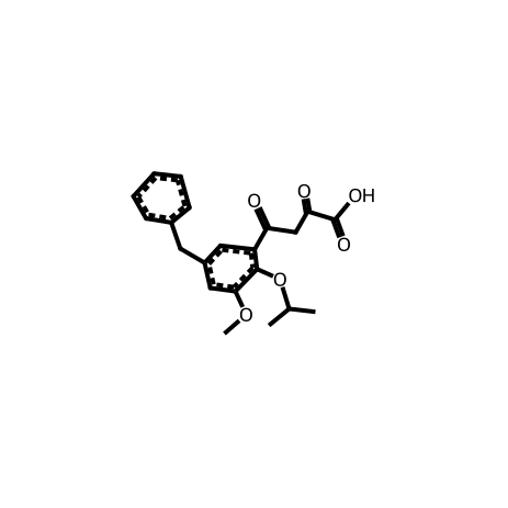 COc1cc(Cc2ccccc2)cc(C(=O)CC(=O)C(=O)O)c1OC(C)C